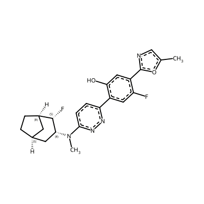 Cc1cnc(-c2cc(O)c(-c3ccc(N(C)[C@@H]4C[C@H]5CC[C@H](C5)[C@@H]4F)nn3)cc2F)o1